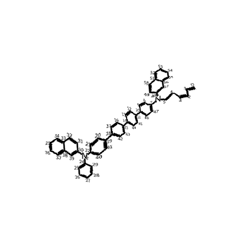 C=C/C=C\C=C\N(c1ccc(-c2ccc(-c3ccc(-c4ccc(N(c5ccccc5)c5ccc6ccccc6c5)cc4)cc3)cc2)cc1)c1ccc2ccccc2c1